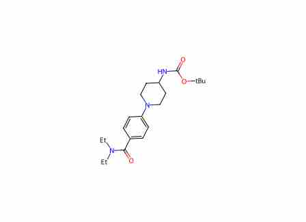 CCN(CC)C(=O)c1ccc(N2CCC(NC(=O)OC(C)(C)C)CC2)cc1